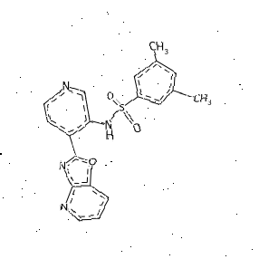 Cc1cc(C)cc(S(=O)(=O)Nc2cnccc2-c2nc3ncccc3o2)c1